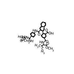 COC(=O)C(NC(=O)c1ccc(-c2cc3ccccc3cc2C(=O)Nc2ccc(C(=N)N)cc2)c(C(=O)O)c1)C(C)C.CS(=O)(=O)O